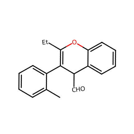 CCC1=C(c2ccccc2C)C(C=O)c2ccccc2O1